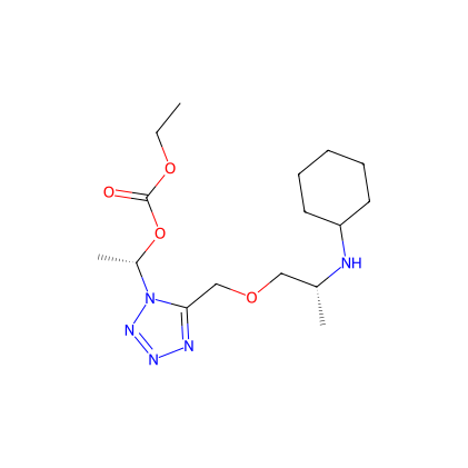 CCOC(=O)O[C@@H](C)n1nnnc1COC[C@@H](C)NC1CCCCC1